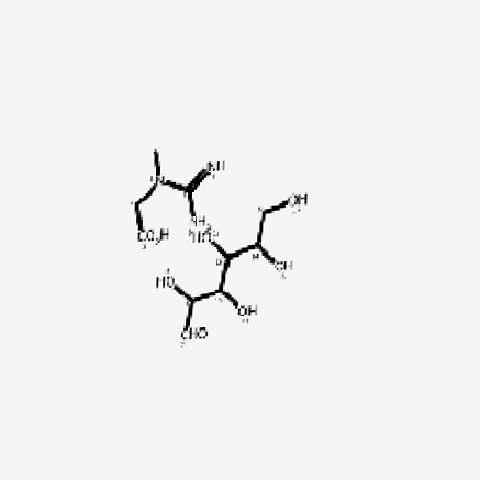 CN(CC(=O)O)C(=N)N.O=CC(O)C(O)C(O)C(O)CO